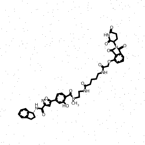 CN(CCNC(=O)CCCCNC(=O)COc1cccc2c1C(=O)N(C1CCC(=O)NC1=O)C2=O)C(=O)c1ccc(-c2cc(C(=O)N[C@@H]3CCc4ccccc43)no2)cc1O